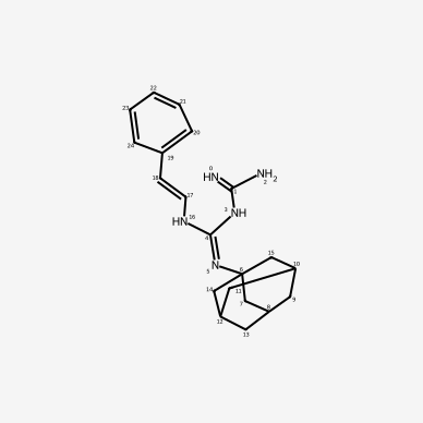 N=C(N)NC(=NC12CC3CC(CC(C3)C1)C2)NC=Cc1ccccc1